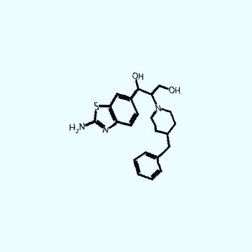 Nc1nc2ccc(C(O)C(CO)N3CCC(Cc4ccccc4)CC3)cc2s1